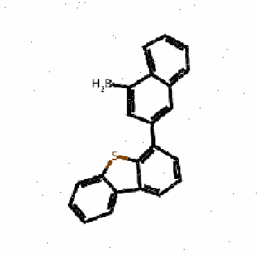 Bc1cc(-c2cccc3c2sc2ccccc23)cc2ccccc12